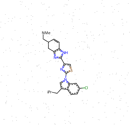 CNCC1C=Cc2[nH]c(-c3csc(-n4cc(CC(C)C)c5ccc(Cl)cc54)n3)nc2C1